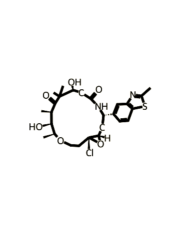 Cc1nc2cc([C@@H]3C[C@@H]4O[C@]4(Cl)CCO[C@@H](C)[C@@H](O)[C@@H](C)C(=O)C(C)(C)[C@@H](O)CC(=O)N3)ccc2s1